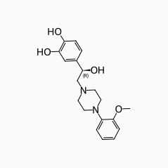 COc1ccccc1N1CCN(C[C@H](O)c2ccc(O)c(O)c2)CC1